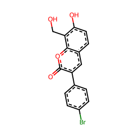 O=c1oc2c(CO)c(O)ccc2cc1-c1ccc(Br)cc1